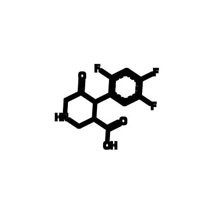 O=C(O)C1CNCC(=O)C1c1cc(F)c(F)cc1F